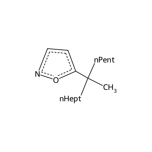 CCCCCCCC(C)(CCCCC)c1ccno1